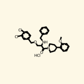 COc1ccccc1C1CCN(C(=O)C(COCc2ccc(Cl)c(Cl)c2)NCc2ccccc2)CC1.Cl